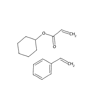 C=CC(=O)OC1CCCCC1.C=Cc1ccccc1